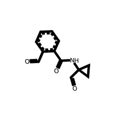 O=Cc1ccccc1C(=O)NC1(C=O)CC1